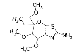 CCC1(COC)OC2SC(N)=NC2C(OC)C1OC